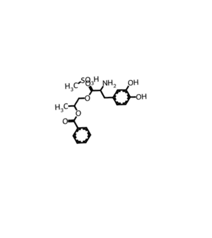 CC(COC(=O)C(N)Cc1ccc(O)c(O)c1)OC(=O)c1ccccc1.CS(=O)(=O)O